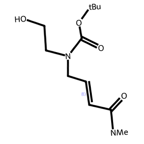 CNC(=O)/C=C/CN(CCO)C(=O)OC(C)(C)C